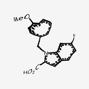 COc1cccc(Cn2c(C(=O)O)cc3ccc(F)cc32)c1